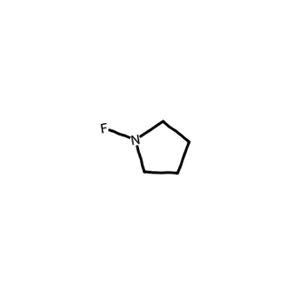 FN1CCCC1